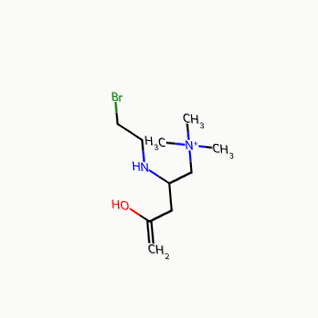 C=C(O)CC(C[N+](C)(C)C)NCCBr